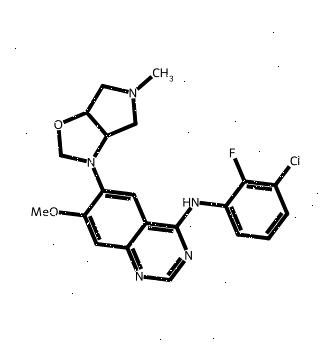 COc1cc2ncnc(Nc3cccc(Cl)c3F)c2cc1N1COC2CN(C)CC21